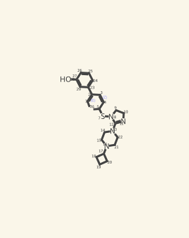 C/C=C(\C=C/C(C)SN1CCN=C1N1CCN(C2CCC2)CC1)c1cccc(O)c1